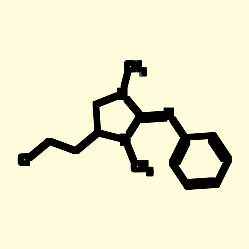 CN1CC(CCCl)N(C)/C1=N\c1ccccc1